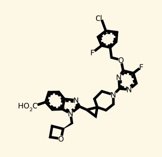 O=C(O)c1ccc2nc(C3CC34CCN(c3ncc(F)c(OCc5ccc(Cl)cc5F)n3)CC4)n(C[C@@H]3CCO3)c2c1